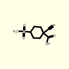 CS(=O)(=O)C1CCC(C#N)(C(=O)O)CC1